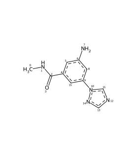 CNC(=O)c1cc(N)cc(-n2cncn2)c1